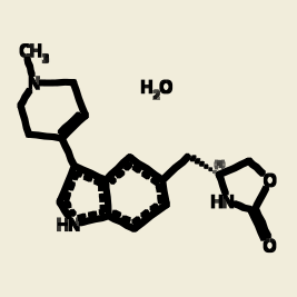 CN1CC=C(c2c[nH]c3ccc(C[C@@H]4COC(=O)N4)cc23)CC1.O